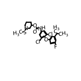 CSN1CCCC(OC(=O)Nc2cc(Cl)c(Oc3cc(F)cc(C(C)C)c3)c(Cl)c2)C1